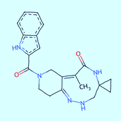 C/C1=C2/CN(C(=O)c3cc4ccccc4[nH]3)CC/C2=N/NCC2(CC2)NC1=O